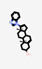 BC1CC[C@@]2(C)C(=CCC3C2CC[C@]2(C)C(n4cnc5ccccc54)=CCC32)C1